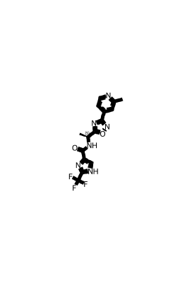 Cc1cc(-c2noc([C@H](C)NC(=O)c3c[nH]c(C(F)(F)F)n3)n2)ccn1